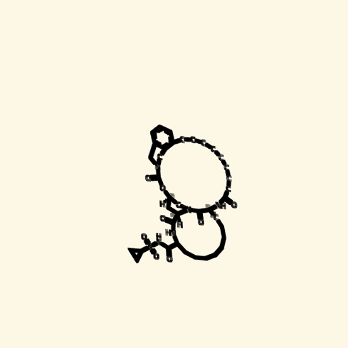 O=C1CCCCCCCCc2cccc3c2CN(C3)C(=O)O[C@@H]2C[C@H]3C(=O)NC(C(=O)NS(=O)(=O)C4CC4)CCCCCCCC[C@H](N1)C(=O)N3C2